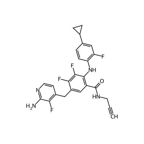 C#CCNC(=O)c1cc(Cc2ccnc(N)c2F)c(F)c(F)c1Nc1ccc(C2CC2)cc1F